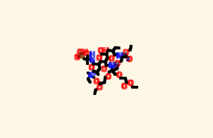 CCOC(=O)CCOCC(COCCC(=O)OCC)(COCCC(=O)OCC)NC(=O)C(CC(CC(CC)C(N)=O)C(=O)O)CC(CC(C)C[N+](C)(C)CC)C(=O)NC(C)(C)CS(=O)(=O)O